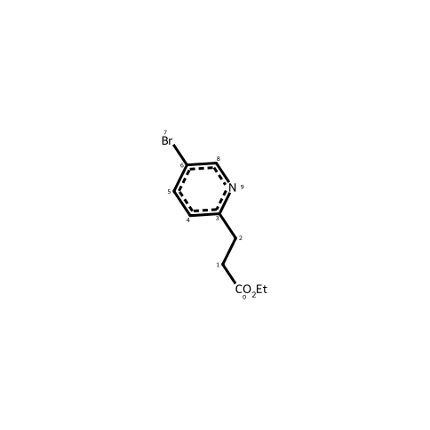 CCOC(=O)CCc1ccc(Br)cn1